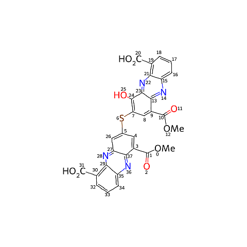 COC(=O)c1cc(Sc2cc(C(=O)OC)c3nc4cccc(C(=O)O)c4nc3c2O)cc2nc3c(C(=O)O)cccc3nc12